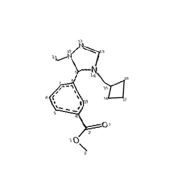 COC(=O)c1cccc(C2N(C)N=CN2C2CCC2)c1